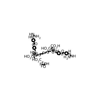 N=C(N)Nc1ccc(C(=O)Oc2ccc(CNS(=O)(=O)N(CCOCCOCCOCCN(C(CC(=O)O)C(=O)O)S(=O)(=O)NCc3ccc(OC(=O)c4ccc(NC(=N)N)cc4)cc3)C(CC(=O)O)C(=O)O)cc2)cc1.O=C(O)C(F)(F)F